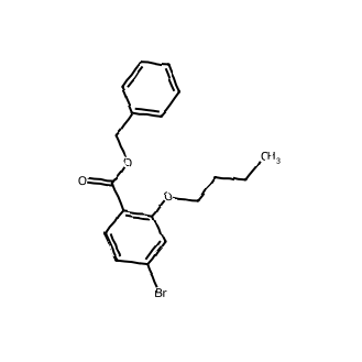 CCCCOc1cc(Br)ccc1C(=O)OCc1ccccc1